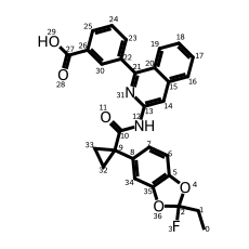 CCC1(F)Oc2ccc(C3(C(=O)Nc4cc5ccccc5c(-c5cccc(C(=O)O)c5)n4)CC3)cc2O1